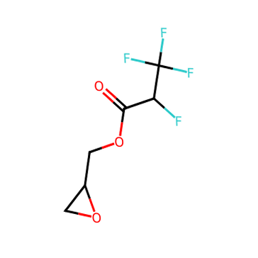 O=C(OCC1CO1)C(F)C(F)(F)F